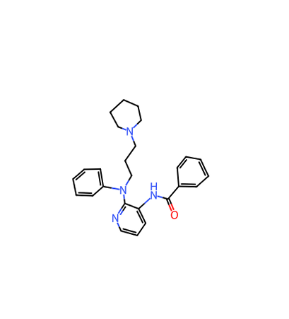 O=C(Nc1cccnc1N(CCCN1CCCCC1)c1ccccc1)c1ccccc1